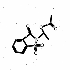 CC(=O)OC(C)N1C(=O)c2ccccc2S1(=O)=O